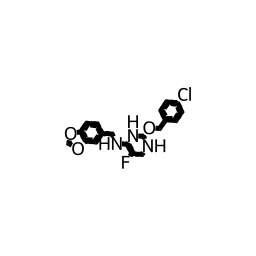 FC1=C(NCc2ccc3c(c2)OCO3)NC(OCc2ccc(Cl)cc2)NC1